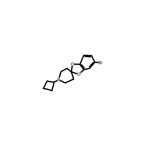 Brc1ccc2c(c1)OC1(CCN(C3CCC3)CC1)O2